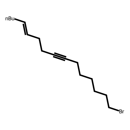 CCCCC=CCCC#CCCCCCCBr